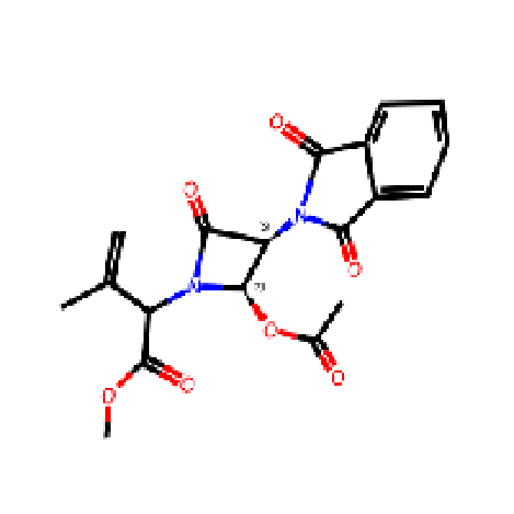 C=C(C)C(C(=O)OC)N1C(=O)[C@@H](N2C(=O)c3ccccc3C2=O)[C@H]1OC(C)=O